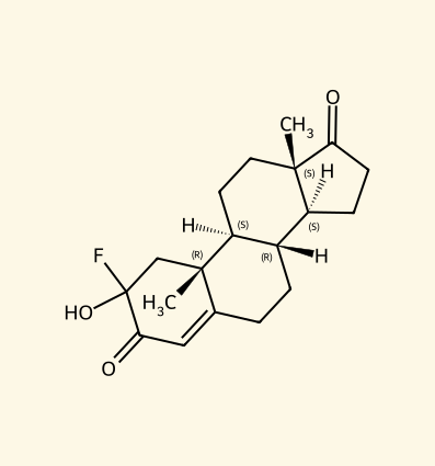 C[C@]12CC(O)(F)C(=O)C=C1CC[C@@H]1[C@@H]2CC[C@]2(C)C(=O)CC[C@@H]12